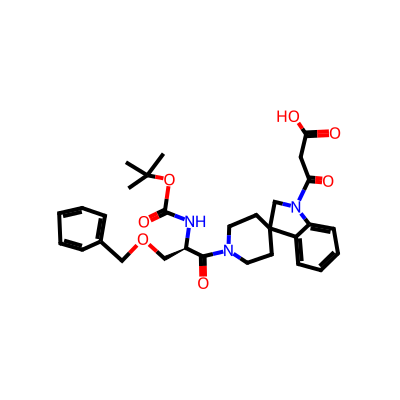 CC(C)(C)OC(=O)N[C@H](COCc1ccccc1)C(=O)N1CCC2(CC1)CN(C(=O)CC(=O)O)c1ccccc12